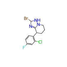 Fc1ccc(C2CCCN3NC(Br)N=C23)c(Cl)c1